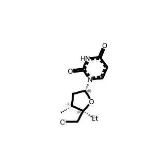 CC[C@@]1(CCl)O[C@@H](n2ccc(=O)[nH]c2=O)C[C@H]1C